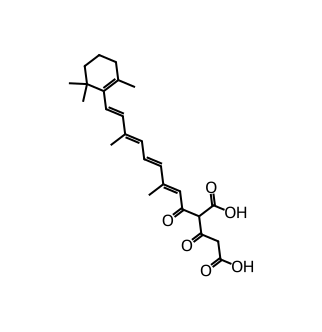 CC1=C(/C=C/C(C)=C/C=C/C(C)=C/C(=O)C(C(=O)O)C(=O)CC(=O)O)C(C)(C)CCC1